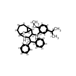 COc1ccc(C(C)C)cc1NC1C(C(c2ccccc2)c2ccccc2)NC2CCCC3C(C2)C31